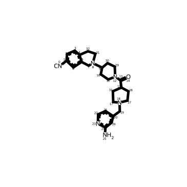 [C-]#[N+]c1ccc2c(c1)CN(C1CCN(C(=O)C3CCN(Cc4ccnc(N)c4)CC3)CC1)CC2